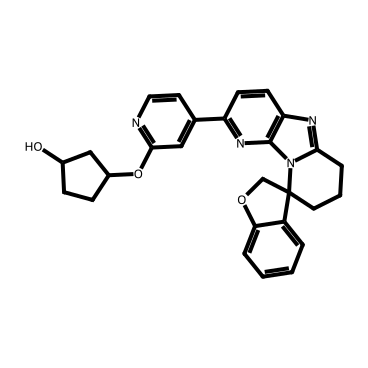 OC1CCC(Oc2cc(-c3ccc4nc5n(c4n3)C3(CCC5)COc4ccccc43)ccn2)C1